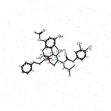 CC(=O)Oc1cc(O)c2c3c1C[C@@H]1[C@@H]4CC[C@H](N(CC(C)C)C(=O)Cc5ccc(Cl)c(Cl)c5)[C@H](O2)[C@]34CCN1CCc1ccccc1